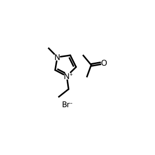 CC(C)=O.CC[n+]1ccn(C)c1.[Br-]